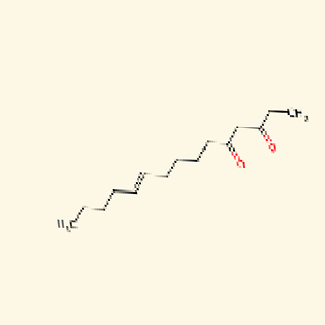 CCCCC=CCCCCC(=O)CC(=O)CC